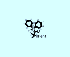 CCCCCC(C)(C)C(=O)P(=S)(c1ccccc1)c1ccccc1